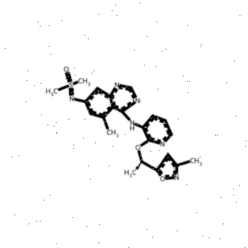 Cc1cc([C@@H](C)Oc2ncccc2Nc2ncnc3cc(N=S(C)(C)=O)cc(C)c23)on1